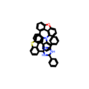 C1=Cc2c(c3ccccc3n2-c2cccc3oc4cccc(-c5ccc6c(c5)sc5cccc(C7NC(c8ccccc8)NC(c8ccccc8)N7)c56)c4c23)CC1